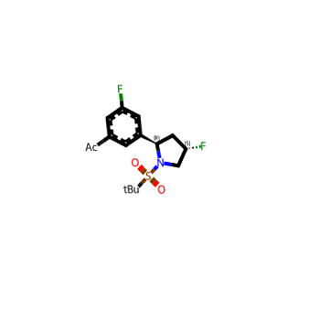 CC(=O)c1cc(F)cc([C@H]2C[C@H](F)CN2S(=O)(=O)C(C)(C)C)c1